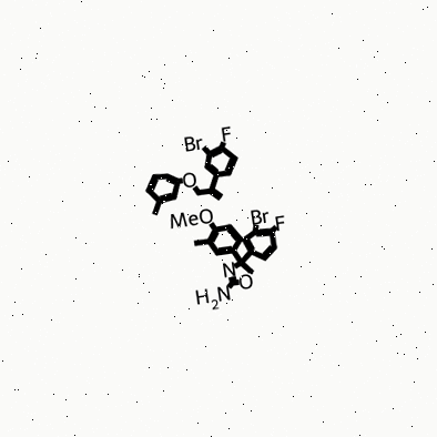 C=C(COc1cccc(C)c1)c1ccc(F)c(Br)c1.COc1ccc(C2(c3ccc(F)c(Br)c3)COC(N)=N2)cc1C